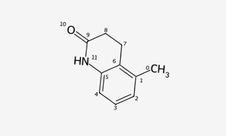 Cc1cccc2c1CCC(=O)N2